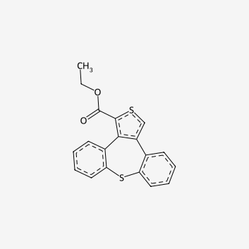 CCOC(=O)c1scc2c1-c1ccccc1Sc1ccccc1-2